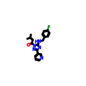 CC(C)CC(=O)n1nc(-c2cccnc2)nc1NCc1ccc(F)cc1